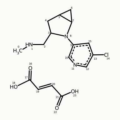 CNCC1CC2CC2N1c1cncc(Cl)c1.O=C(O)C=CC(=O)O